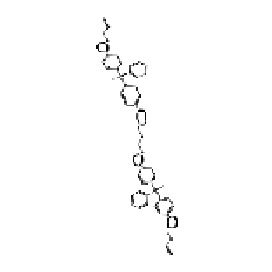 C=CCCOc1ccc(C(C)(c2ccccc2)c2ccc(OCCCCOc3ccc(C(C)(c4ccccc4)c4ccc(OCCC=C)cc4)cc3)cc2)cc1